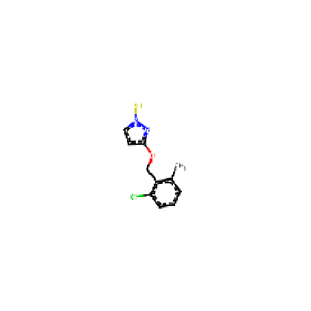 Cc1cccc(Cl)c1COc1ccn(S)n1